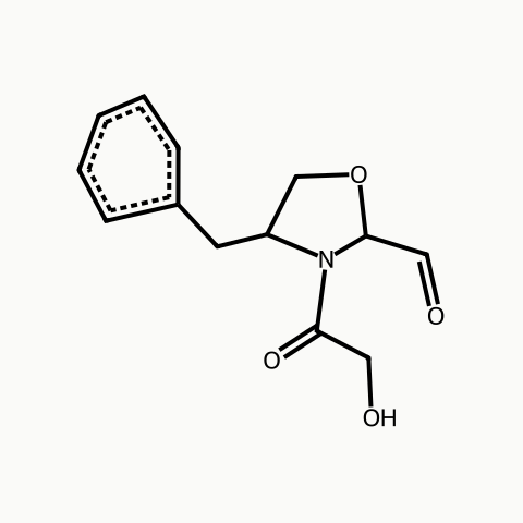 O=CC1OCC(Cc2ccccc2)N1C(=O)CO